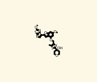 COc1cc(OCc2nc(C3(O)CCOCC3)sc2C)c2cc(-c3cnc4sc(OC)nn34)oc2c1